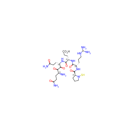 NC(=O)CC[C@H](NC(=O)[C@H](CCC(=O)O)NC(=O)[C@H](CCCNC(N)N)NC(=O)[C@@H]1CCCN1S)C(=O)C(=O)[C@@H](N)CCC(N)=O